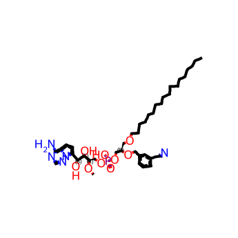 CCCCCCCCCCCCCCCCCCOC[C@H](COP(=O)(O)OC[C@@H](OC)[C@@H](O)[C@@H](O)c1ccc2c(N)ncnn12)OCc1cccc(C#N)c1